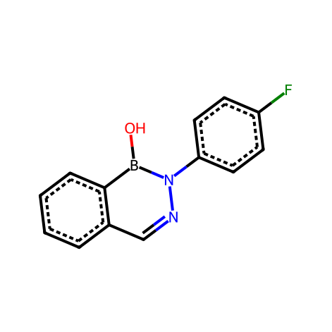 OB1c2ccccc2C=NN1c1ccc(F)cc1